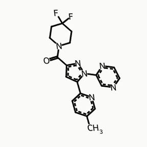 Cc1ccc(-c2cc(C(=O)N3CCC(F)(F)CC3)nn2-c2cnccn2)nc1